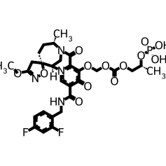 COC1=NO[C@@]2(CC[C@H](C)N3C[C@H]2n2cc(C(=O)NCc4ccc(F)cc4F)c(=O)c(OCOC(=O)OC[C@@H](C)OP(=O)(O)O)c2C3=O)C1